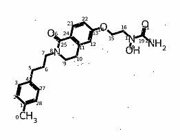 Cc1ccc(CCCN2CCc3cc(OCCN(O)C(N)=O)ccc3C2=O)cc1